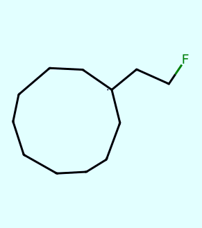 FCC[C]1CCCCCCCCC1